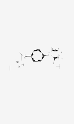 CN(c1ccc(-n2nnnc2S)cc1)S(=O)(=O)O